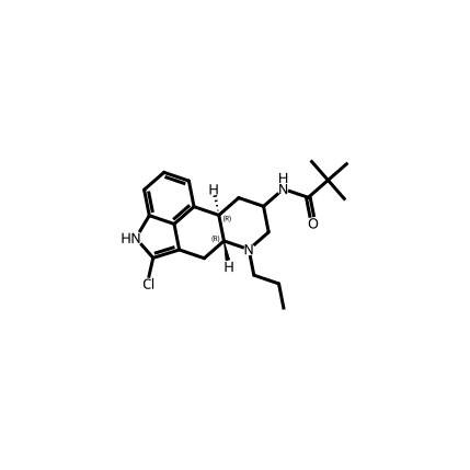 CCCN1CC(NC(=O)C(C)(C)C)C[C@@H]2c3cccc4[nH]c(Cl)c(c34)C[C@H]21